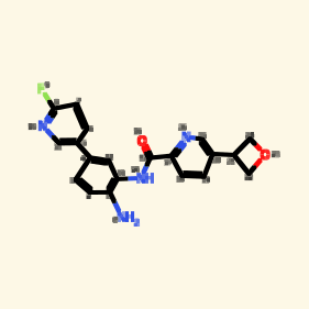 Nc1ccc(-c2ccc(F)nc2)cc1NC(=O)c1ccc(C2COC2)cn1